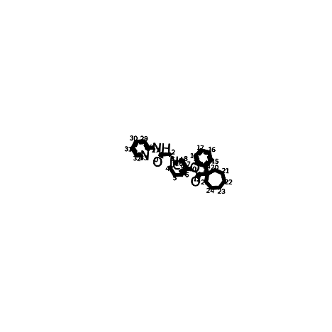 O=C(C[N+]12CCC(CC1)C(OC(=O)C1(c3ccccc3)CCCCCC1)C2)Nc1ccccn1